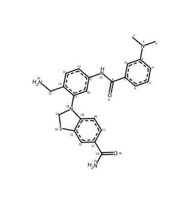 CN(C)c1cccc(C(=O)Nc2ccc(CN)c(N3CSc4cc(C(N)=O)ccc43)c2)c1